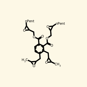 CCCCCC1OC1COC(=O)c1ccc(CC2OC2C)c(CC2OC2C)c1C(=O)OCC1OC1CCCCC